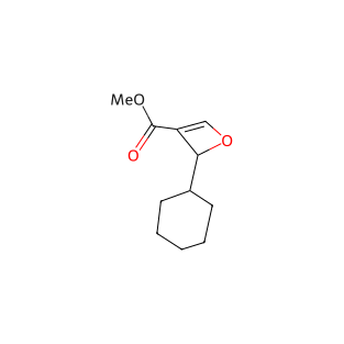 COC(=O)C1=COC1C1CCCCC1